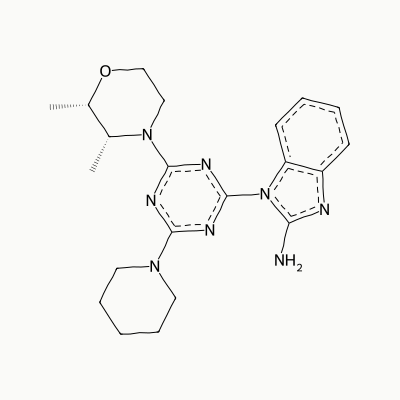 C[C@@H]1OCCN(c2nc(N3CCCCC3)nc(-n3c(N)nc4ccccc43)n2)[C@@H]1C